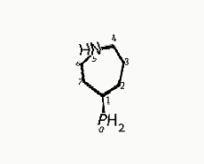 P[C@@H]1CCCNCC1